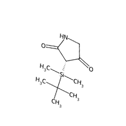 CC(C)(C)[Si](C)(C)[C@H]1C(=O)CNC1=O